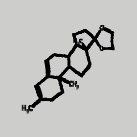 CC1=CC2=CCC3C(CCC4(C)C3CCC43OCCO3)C2(C)CC1